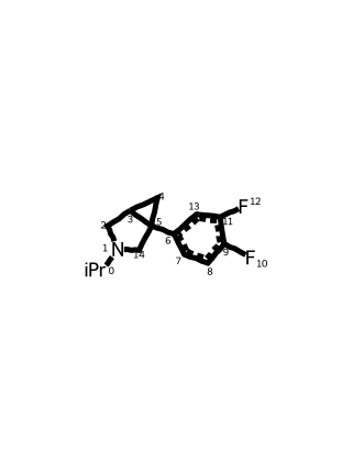 CC(C)N1CC2CC2(c2ccc(F)c(F)c2)C1